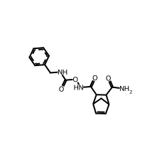 NC(=O)C1C2C=CC(C2)C1C(=O)NOC(=O)NCc1ccccc1